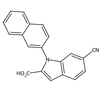 N#Cc1ccc2cc(C(=O)O)n(-c3ccc4ccccc4c3)c2c1